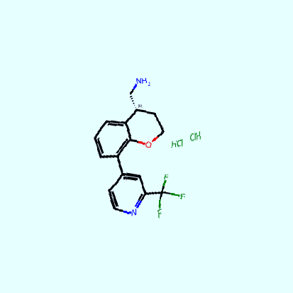 Cl.Cl.NC[C@@H]1CCOc2c(-c3ccnc(C(F)(F)F)c3)cccc21